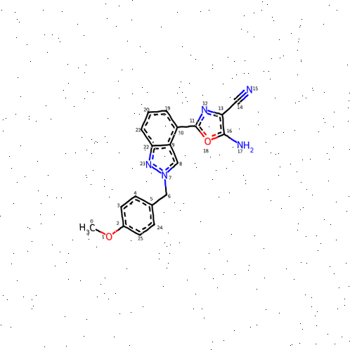 COc1ccc(Cn2cc3c(-c4nc(C#N)c(N)o4)cccc3n2)cc1